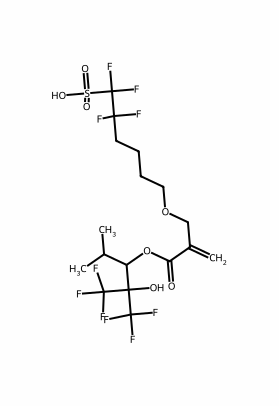 C=C(COCCCCC(F)(F)C(F)(F)S(=O)(=O)O)C(=O)OC(C(C)C)C(O)(C(F)(F)F)C(F)(F)F